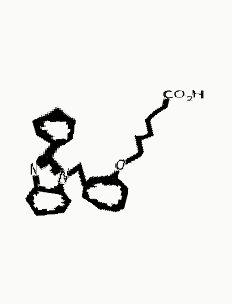 O=C(O)CCCCCOc1ccccc1Cn1c(-c2ccccc2)nc2ccccc21